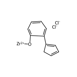 [Cl-].[Cl-].[Zr+2][O]c1ccccc1C1=CC=CC1